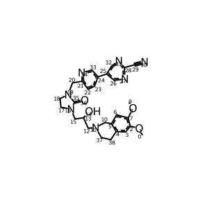 COc1cc2c(cc1OC)CN(CC(O)CN1CCN(Cc3ccc(-c4cnc(C#N)nc4)cn3)C1=O)CC2